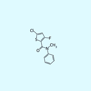 CN(C(=O)c1sc(Cl)cc1F)c1ccccc1